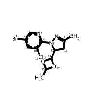 BC1=NN(c2ncc(Br)cc2Cl)C(C2OC(C)O2)C1